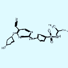 CC(C)NS(=O)(=O)c1ccc(Nc2ncc(C#N)c(O[C@H]3CC[C@H](O)C3)n2)cc1